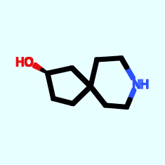 O[C@@H]1CCC2(CCNCC2)C1